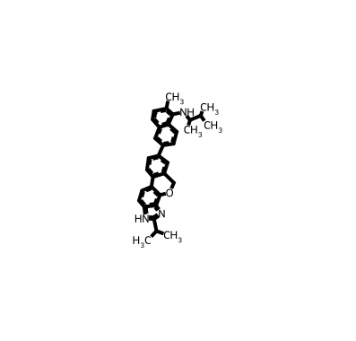 Cc1ccc2cc(-c3ccc4c(c3)COc3c-4ccc4[nH]c(C(C)C)nc34)ccc2c1NC(C)C(C)C